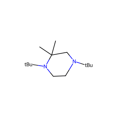 CC(C)(C)N1CCN(C(C)(C)C)C(C)(C)C1